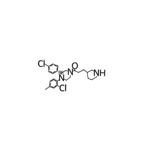 Cc1ccc(N2CCN(C(=O)CCC3CCCNC3)C[C@H]2c2ccc(Cl)cc2)c(Cl)c1